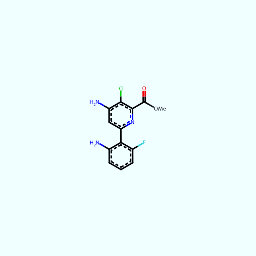 COC(=O)c1nc(-c2c(N)cccc2F)cc(N)c1Cl